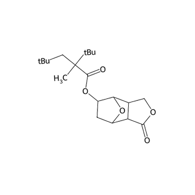 CC(C)(C)CC(C)(C(=O)OC1CC2OC1C1COC(=O)C21)C(C)(C)C